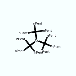 CCCCC[C](CCCCC)(CCCCC)[Cr]([C](CCCCC)(CCCCC)CCCCC)[C](CCCCC)(CCCCC)CCCCC